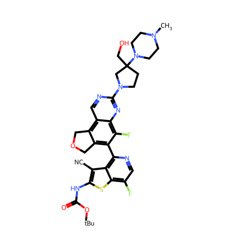 CN1CCN(C2(CO)CCN(c3ncc4c5c(c(-c6ncc(F)c7sc(NC(=O)OC(C)(C)C)c(C#N)c67)c(F)c4n3)COC5)C2)CC1